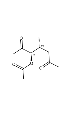 CC(=O)C[C@@H](C)[C@@H](OC(C)=O)C(C)=O